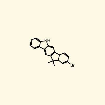 CC1(C)c2cc3c(cc2C2C=CC(Br)=CC21)[nH]c1ccccc13